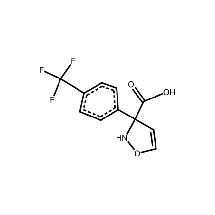 O=C(O)C1(c2ccc(C(F)(F)F)cc2)C=CON1